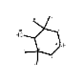 CC1(C)CNCC(C)(C)C1O